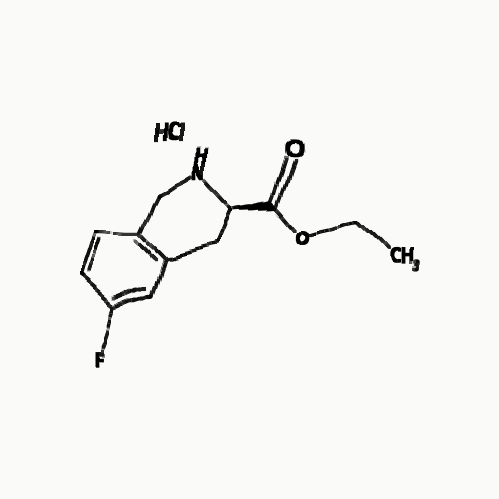 CCOC(=O)[C@H]1Cc2cc(F)ccc2CN1.Cl